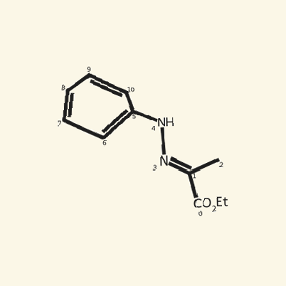 CCOC(=O)/C(C)=N/Nc1ccccc1